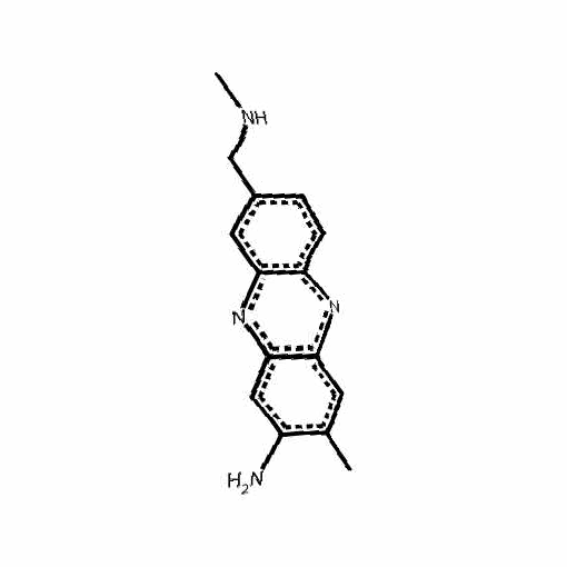 CNCc1ccc2nc3cc(C)c(N)cc3nc2c1